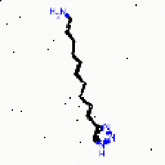 NCCCCCCCCCCc1c[nH]nn1